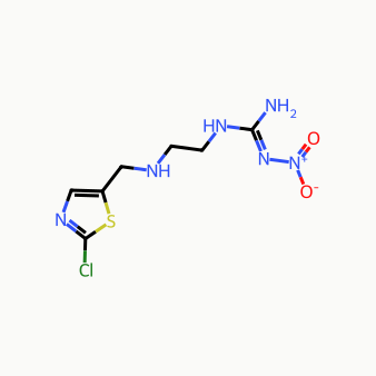 NC(=N[N+](=O)[O-])NCCNCc1cnc(Cl)s1